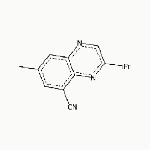 Cc1cc(C#N)c2nc(C(C)C)cnc2c1